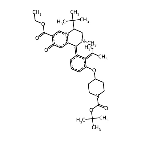 CCOC(=O)c1cn2c(cc1=O)/C(=c1\cccc(OC3CCN(C(=O)OC(C)(C)C)CC3)c1=C(C)C)N(C)CC2C(C)(C)C